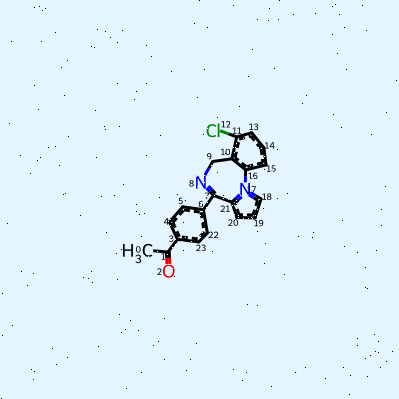 CC(=O)c1ccc(C2=NCc3c(Cl)cccc3-n3cccc32)cc1